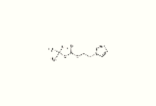 CC(C)(C)OC(=O)OCCn1cccc1